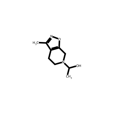 Cc1noc2c1CCN(C(C)O)C2